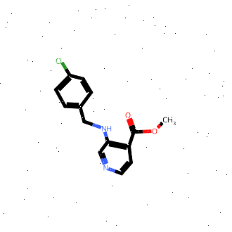 COC(=O)c1ccncc1NCc1ccc(Cl)cc1